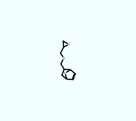 C1=CC2OC1CC2COCC1CO1